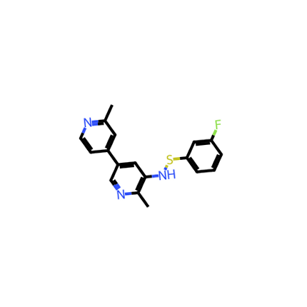 Cc1cc(-c2cnc(C)c(NSc3cccc(F)c3)c2)ccn1